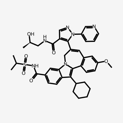 COc1ccc2c(c1)C=C(c1c(C(=O)NC[C@@H](C)O)cnn1-c1cccnc1)Cn1c-2c(C2CCCCC2)c2ccc(C(=O)NS(=O)(=O)C(C)C)cc21